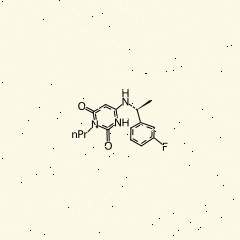 CCCn1c(=O)cc(N[C@@H](C)c2cccc(F)c2)[nH]c1=O